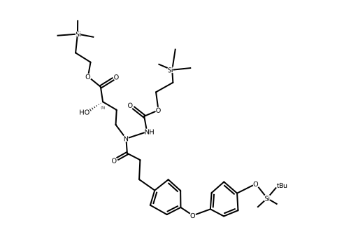 CC(C)(C)[Si](C)(C)Oc1ccc(Oc2ccc(CCC(=O)N(CC[C@H](O)C(=O)OCC[Si](C)(C)C)NC(=O)OCC[Si](C)(C)C)cc2)cc1